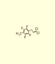 [CH2]c1c(F)c(F)c(CC=C(Cl)Cl)c(F)c1F